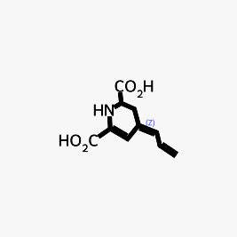 C=C/C=C1\C=C(C(=O)O)NC(C(=O)O)C1